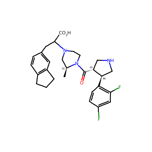 C[C@H]1CN(C(Cc2ccc3c(c2)CCC3)C(=O)O)CCN1C(=O)[C@@H]1CNC[C@H]1c1ccc(F)cc1F